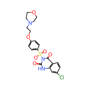 O=c1[nH]c2cc(Cl)ccc2c(=O)n1S(=O)(=O)c1ccc(OCCN2CCOCC2)cc1